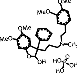 COc1ccc(CCN(C)CCCC2(c3ccccc3)c3cc(OC)c(OC)cc3OC2O)cc1OC.O=P(O)(O)O